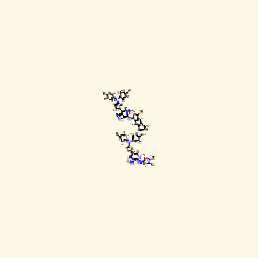 CCN1C(=O)/C(=N\c2ncc(-c3ccc(N(c4ccc(C)cc4)c4ccc(Cc5ccc6cc7c(=O)c(=O)/c(=N\c8ncc(-c9ccc(N(c%10ccc(C)cc%10)c%10ccc(C)cc%10)s9)c9nsnc89)c7cc6c5)cc4)s3)c3nsnc23)SC1=S